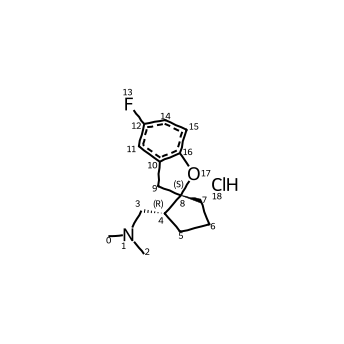 CN(C)C[C@H]1CCC[C@]12Cc1cc(F)ccc1O2.Cl